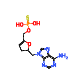 Nc1ncnc2c1ncn2CC1CC=C(COP(O)(O)=S)O1